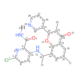 CCNC(=O)c1nc(Cl)ccc1NC(C)c1cc(C)cc2c(=O)c(C)c(-c3cccnc3)oc12